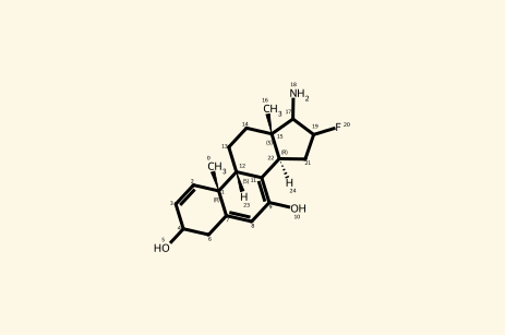 C[C@]12C=CC(O)CC1=CC(O)=C1[C@H]2CC[C@]2(C)C(N)C(F)C[C@@H]12